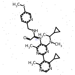 CSc1ccc(CN/C(C=O)=N/c2c(C)nc(-c3c(C)ncnc3C3CC3)nc2N(C)C(C)C2CC2)nc1